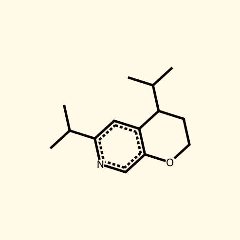 CC(C)c1cc2c(cn1)OCCC2C(C)C